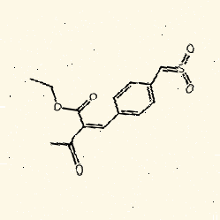 CCOC(=O)C(=Cc1ccc(C=S(=O)=O)cc1)C(C)=O